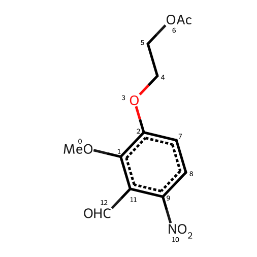 COc1c(OCCOC(C)=O)ccc([N+](=O)[O-])c1C=O